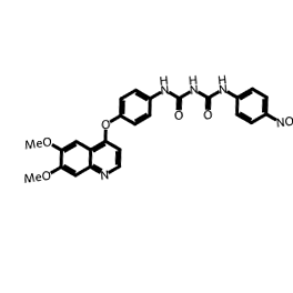 COc1cc2nccc(Oc3ccc(NC(=O)NC(=O)Nc4ccc([N+](=O)[O-])cc4)cc3)c2cc1OC